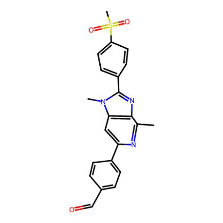 Cc1nc(-c2ccc(C=O)cc2)cc2c1nc(-c1ccc(S(C)(=O)=O)cc1)n2C